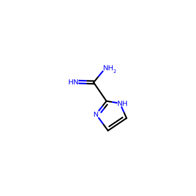 N=C(N)c1ncc[nH]1